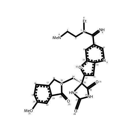 CCN(CCNC)C(=N)c1cnc2cc([C@]3(CN4Cc5ccc(OC)cc5C4=O)NC(=O)NC3=O)oc2c1